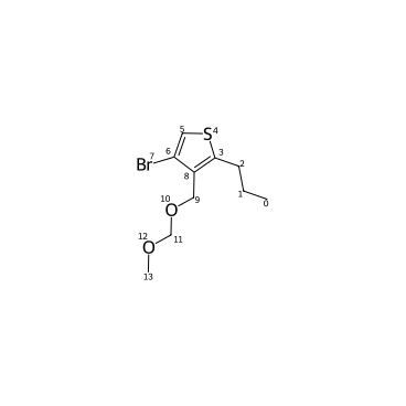 CCCc1scc(Br)c1COCOC